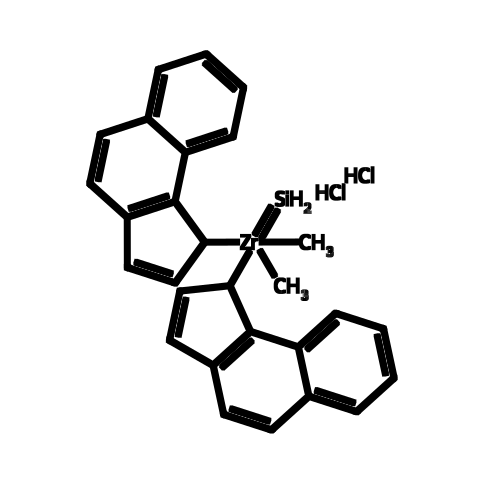 Cl.Cl.[CH3][Zr]([CH3])(=[SiH2])([CH]1C=Cc2ccc3ccccc3c21)[CH]1C=Cc2ccc3ccccc3c21